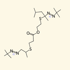 CC(C)CC(C)(/N=N/C(C)(C)C)SCCOC(=O)CCSC(C)C/N=N/C(C)(C)C